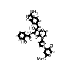 COc1cc(-n2ccc(N3CCO[C@H](C(O)(CNC(=O)c4ccccc4O)Cc4ccc5c(N)noc5c4)C3=O)n2)c(Cl)cn1